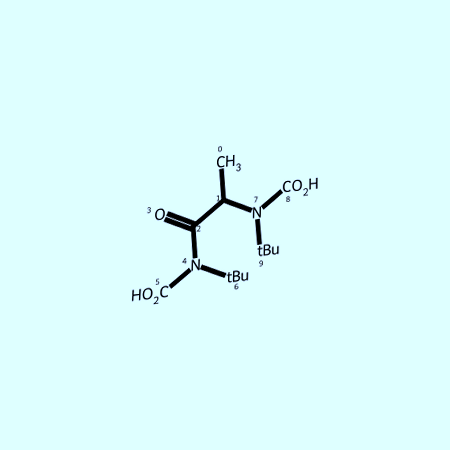 CC(C(=O)N(C(=O)O)C(C)(C)C)N(C(=O)O)C(C)(C)C